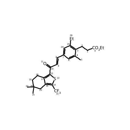 CCOC(=O)CCc1c(C)cc(C=CC(=O)c2sc(C(F)(F)F)c3c2CCC(C)(C)C3)cc1CC